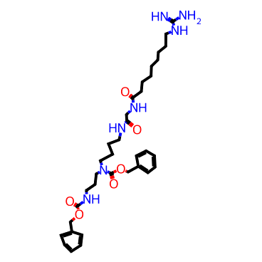 N=C(N)NCCCCCCCCC(=O)NCC(=O)NCCCCN(CCCNC(=O)OCc1ccccc1)C(=O)OCc1ccccc1